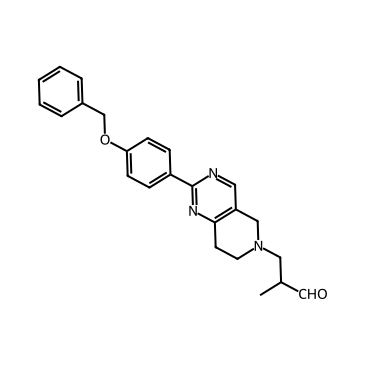 CC(C=O)CN1CCc2nc(-c3ccc(OCc4ccccc4)cc3)ncc2C1